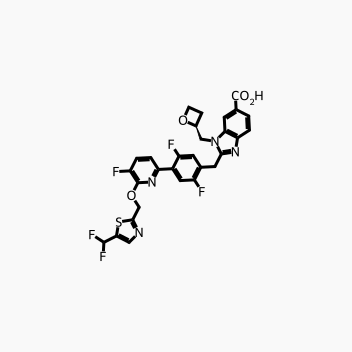 O=C(O)c1ccc2nc(Cc3cc(F)c(-c4ccc(F)c(OCc5ncc(C(F)F)s5)n4)cc3F)n(C[C@@H]3CCO3)c2c1